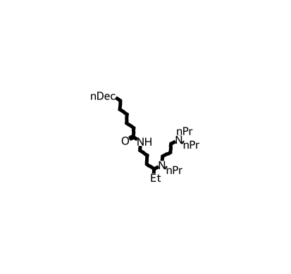 CCCCCCCCCCCCCCCC(=O)NCCCC(CC)N(CCC)CCCN(CCC)CCC